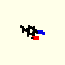 C=Cc1ccc(N)c(O)c1